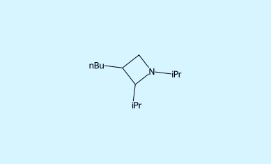 CCCCC1CN(C(C)C)C1C(C)C